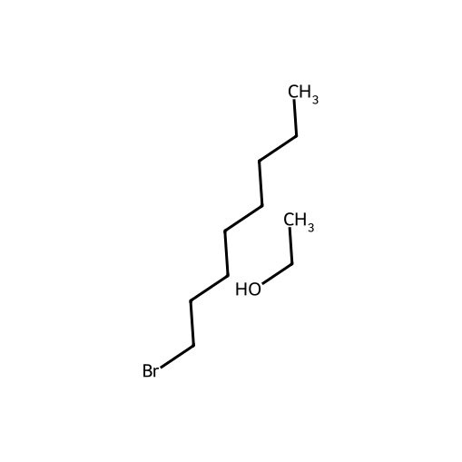 CCCCCCCCBr.CCO